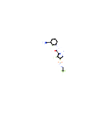 C[C@@H](NS(=O)(=O)c1cn(C)c(C(=O)Nc2cccc(C#N)c2F)c1F)C(F)(F)F